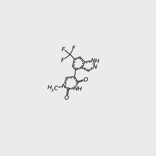 Cn1cc(-c2cc(C(F)(F)F)cc3[nH]ncc23)c(=O)[nH]c1=O